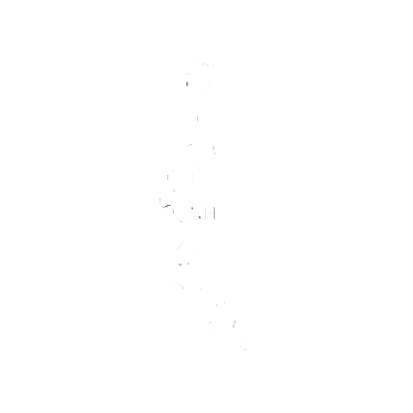 O=C(N[C@@H](Cc1ccc(OCc2ccccc2)cc1)C(=O)O)c1cc2ccc(-c3ccc(Cl)cc3)cc2s1